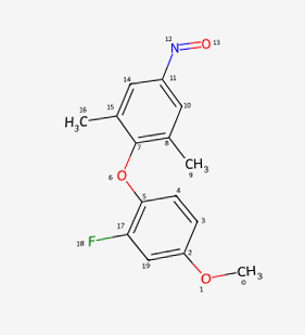 COc1ccc(Oc2c(C)cc(N=O)cc2C)c(F)c1